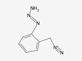 N#[N+]Cc1ccccc1N=NN